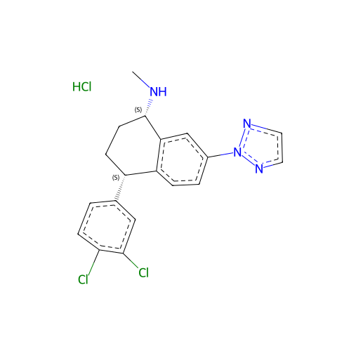 CN[C@H]1CC[C@@H](c2ccc(Cl)c(Cl)c2)c2ccc(-n3nccn3)cc21.Cl